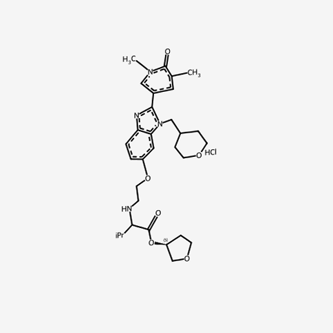 Cc1cc(-c2nc3ccc(OCCNC(C(=O)O[C@H]4CCOC4)C(C)C)cc3n2CC2CCOCC2)cn(C)c1=O.Cl